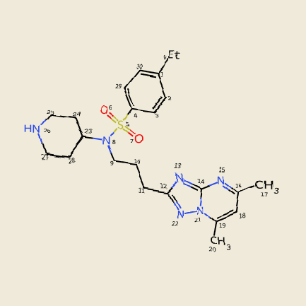 CCc1ccc(S(=O)(=O)N(CCCc2nc3nc(C)cc(C)n3n2)C2CCNCC2)cc1